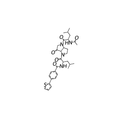 CC(=O)NC(CC(C)C)C(=O)N1CC(=O)C2C1CCN2C(=O)C(CC(C)C)NC(=O)c1ccc(-c2cccs2)cc1